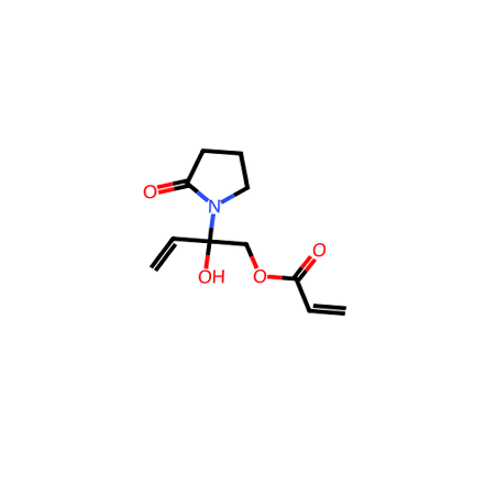 C=CC(=O)OCC(O)(C=C)N1CCCC1=O